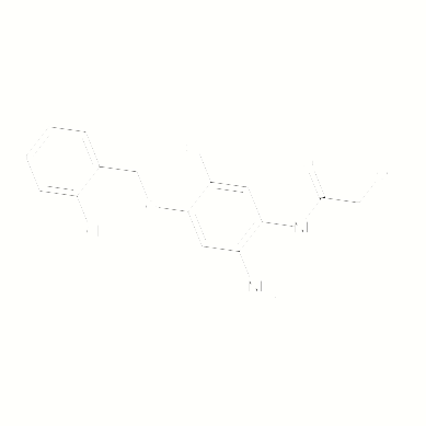 Nc1cc(OCc2ccccc2Cl)c(Cl)cc1NC(=O)CO